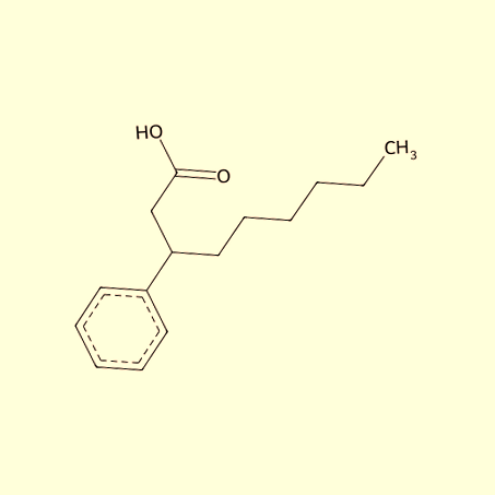 CCCCCCC(CC(=O)O)c1ccccc1